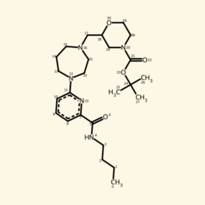 CCCCNC(=O)c1cccc(N2CCCN(CC3CN(C(=O)OC(C)(C)C)CCO3)CC2)n1